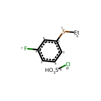 CCSc1cccc(F)c1.O=S(=O)(O)Cl